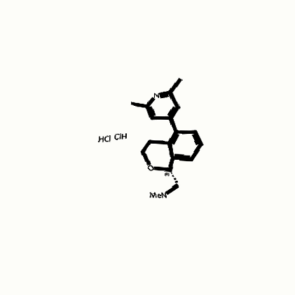 CNC[C@@H]1OCCc2c(-c3cc(C)nc(C)c3)cccc21.Cl.Cl